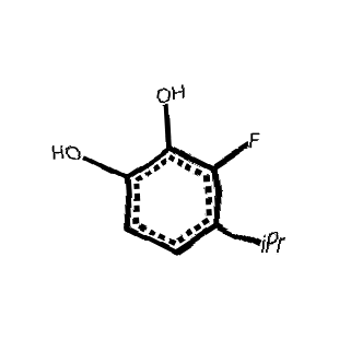 CC(C)c1ccc(O)c(O)c1F